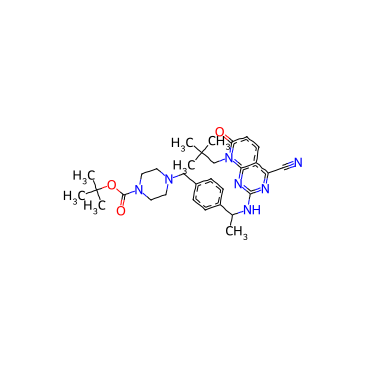 CC(Nc1nc(C#N)c2ccc(=O)n(CC(C)(C)C)c2n1)c1ccc(CN2CCN(C(=O)OC(C)(C)C)CC2)cc1